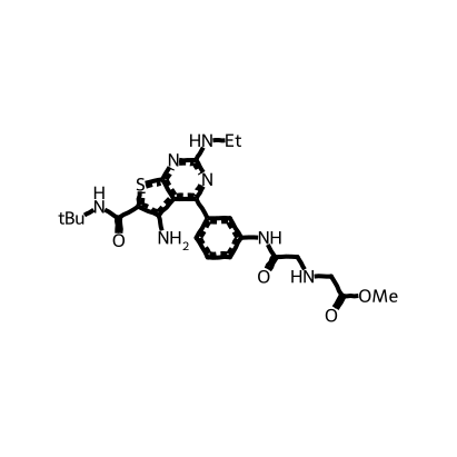 CCNc1nc(-c2cccc(NC(=O)CNCC(=O)OC)c2)c2c(N)c(C(=O)NC(C)(C)C)sc2n1